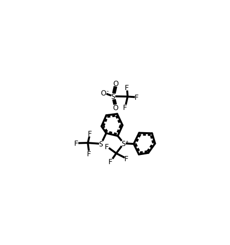 FC(F)(F)Sc1ccccc1[S+](c1ccccc1)C(F)(F)F.O=S(=O)([O-])C(F)(F)F